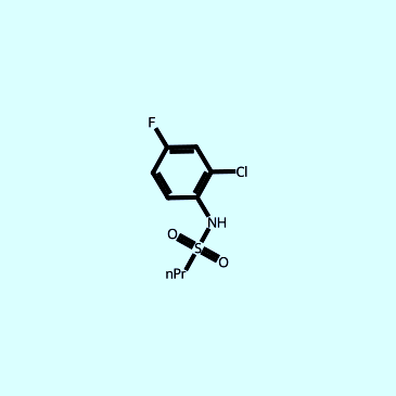 CCCS(=O)(=O)Nc1ccc(F)cc1Cl